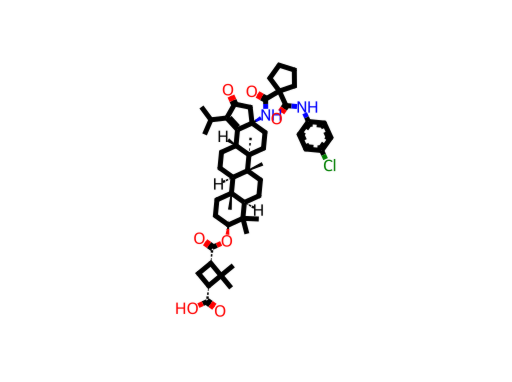 CC(C)C1=C2[C@H]3CC[C@@H]4[C@@]5(C)CC[C@H](OC(=O)[C@H]6C[C@@H](C(=O)O)C6(C)C)C(C)(C)[C@@H]5CC[C@@]4(C)[C@]3(C)CC[C@@]2(NC(=O)C2(C(=O)Nc3ccc(Cl)cc3)CCCC2)CC1=O